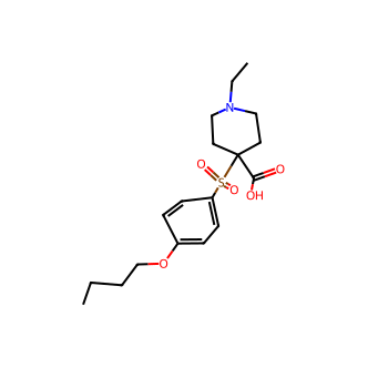 CCCCOc1ccc(S(=O)(=O)C2(C(=O)O)CCN(CC)CC2)cc1